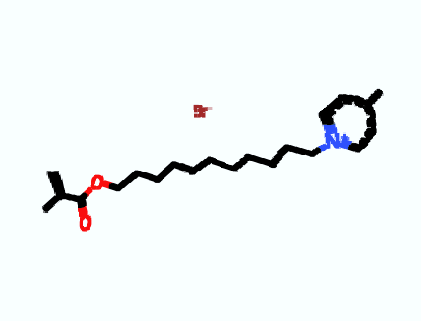 C=C(C)C(=O)OCCCCCCCCCCC[n+]1ccc(C)cc1.[Br-]